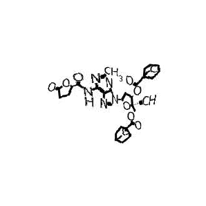 C#C[C@]1(COC(=O)C23CCC(CC2)CC3)O[C@@H](n2cnc3c(NC(=O)[C@H]4CCC(=O)O4)nc(C)nc32)C[C@@H]1OC(=O)C12CCC(CC1)CC2